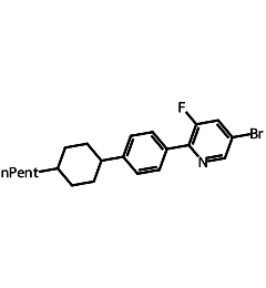 CCCCCC1CCC(c2ccc(-c3ncc(Br)cc3F)cc2)CC1